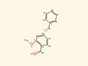 COc1cc(SCc2ccccc2)ccc1C=O